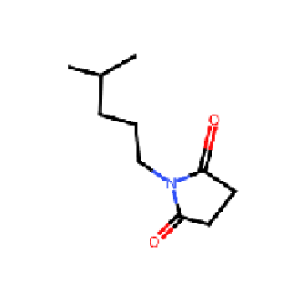 CC(C)CCCN1C(=O)CCC1=O